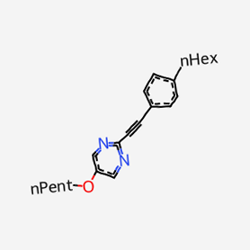 CCCCCCc1ccc(C#Cc2ncc(OCCCCC)cn2)cc1